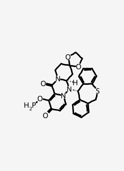 O=C1c2c(OP)c(=O)ccn2N([C@H]2c3ccccc3CSc3ccccc32)[C@@H]2CC3(CCN12)OCCO3